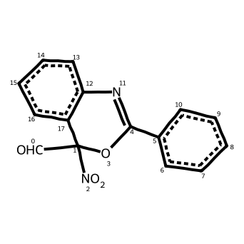 O=CC1([N+](=O)[O-])OC(c2ccccc2)=Nc2ccccc21